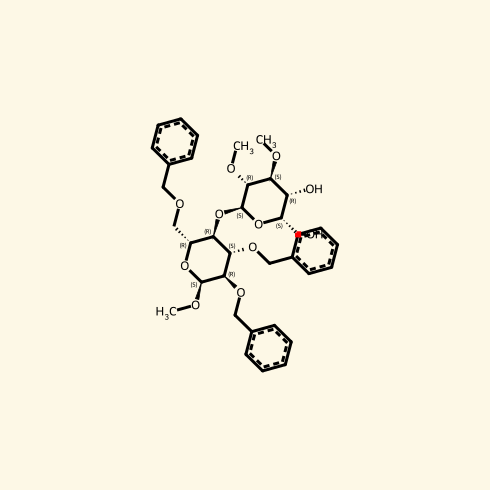 CO[C@H]1O[C@H](COCc2ccccc2)[C@@H](O[C@@H]2O[C@@H](CO)[C@@H](O)[C@H](OC)[C@H]2OC)[C@H](OCc2ccccc2)[C@H]1OCc1ccccc1